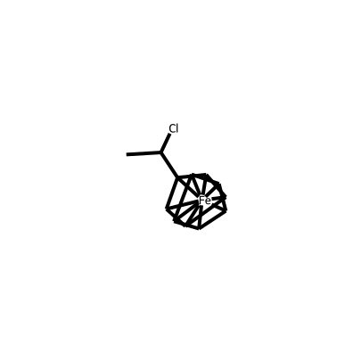 CC(Cl)[C]12[CH]3[CH]4[CH]5[CH]1[Fe]45321678[CH]2[CH]1[CH]6[CH]7[CH]28